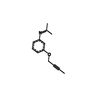 CC#CCOc1cccc(N=C(C)C)c1